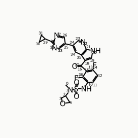 CN(C1COC1)S(=O)(=O)Nc1ccc(F)c(C(=O)c2c[nH]c3ncc(-c4cnc(C5CC5)nc4)cc23)c1F